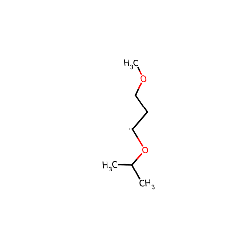 COCC[CH]OC(C)C